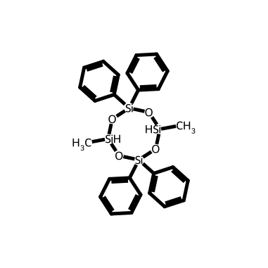 C[SiH]1O[Si](c2ccccc2)(c2ccccc2)O[SiH](C)O[Si](c2ccccc2)(c2ccccc2)O1